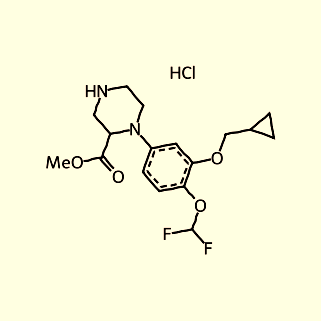 COC(=O)C1CNCCN1c1ccc(OC(F)F)c(OCC2CC2)c1.Cl